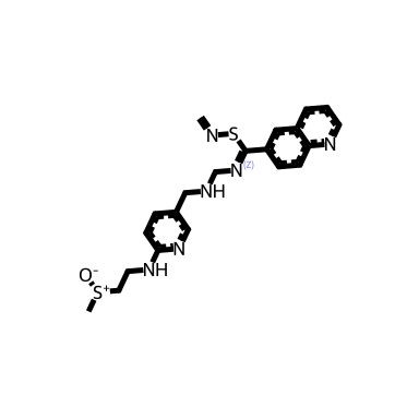 C=NS/C(=N\CNCc1ccc(NCC[S+](C)[O-])nc1)c1ccc2ncccc2c1